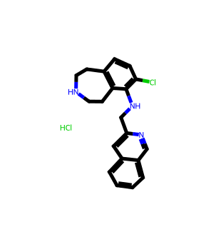 Cl.Clc1ccc2c(c1NCc1cc3ccccc3cn1)CCNCC2